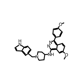 COc1ccc(-c2nnc(NC3CCN(Cc4ccc5[nH]ccc5c4)CC3)c3cc(OC)ccc23)cc1